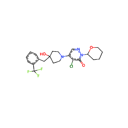 O=c1c(Cl)c(N2CCC(O)(Cc3ccccc3C(F)(F)F)CC2)cnn1C1CCCCO1